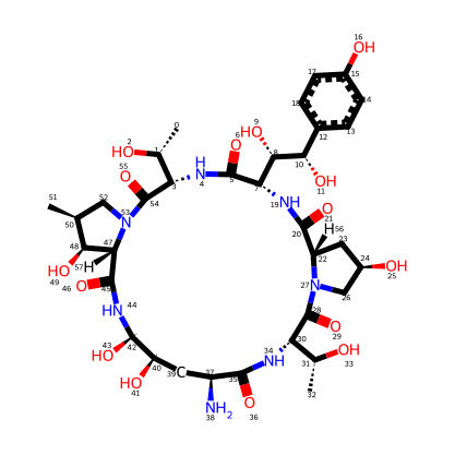 C[C@@H](O)[C@@H]1NC(=O)[C@H]([C@H](O)[C@@H](O)c2ccc(O)cc2)NC(=O)[C@@H]2C[C@@H](O)CN2C(=O)[C@H]([C@@H](C)O)NC(=O)[C@@H](N)C[C@@H](O)[C@@H](O)NC(=O)[C@@H]2[C@@H](O)[C@@H](C)CN2C1=O